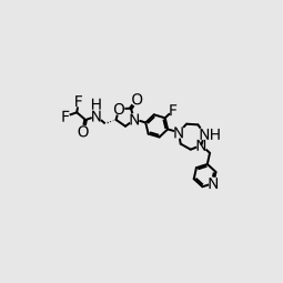 O=C(NC[C@H]1CN(c2ccc(N3CCNN(Cc4cccnc4)CC3)c(F)c2)C(=O)O1)C(F)F